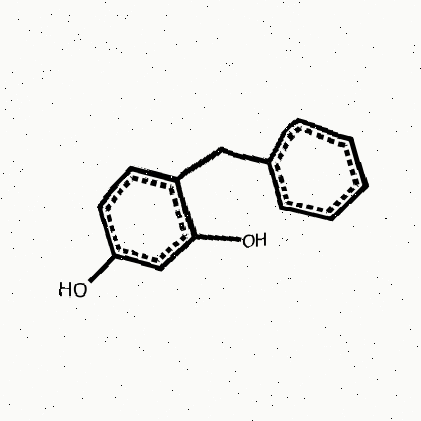 Oc1ccc(Cc2ccccc2)c(O)c1